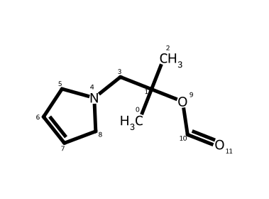 CC(C)(CN1CC=CC1)OC=O